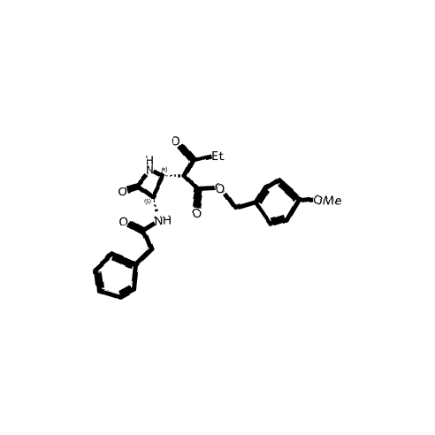 CCC(=O)C(C(=O)OCc1ccc(OC)cc1)[C@H]1NC(=O)[C@H]1NC(=O)Cc1ccccc1